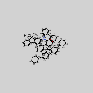 CC1(C)c2ccccc2-c2ccc(N(c3ccccc3-c3ccccc3)c3cccc4c3-c3ccccc3C43c4cc(C5CCCCC5)ccc4-c4ccc(C5CCCCC5)cc43)cc21